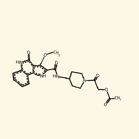 COc1c(C(=O)NC2CCN(C(=O)COC(C)=O)CC2)[nH]c2c1c(=O)[nH]c1ccccc12